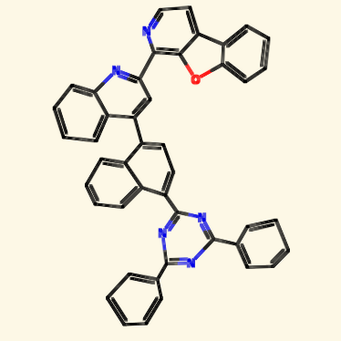 c1ccc(-c2nc(-c3ccccc3)nc(-c3ccc(-c4cc(-c5nccc6c5oc5ccccc56)nc5ccccc45)c4ccccc34)n2)cc1